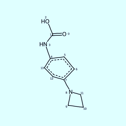 O=C(O)Nc1ccc(N2CCC2)cc1